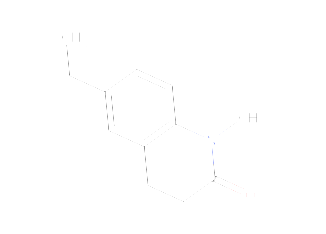 CCc1ccc2c(c1)CCC(=O)N2C